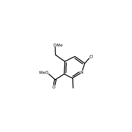 COCc1cc(Cl)nc(C)c1C(=O)OC